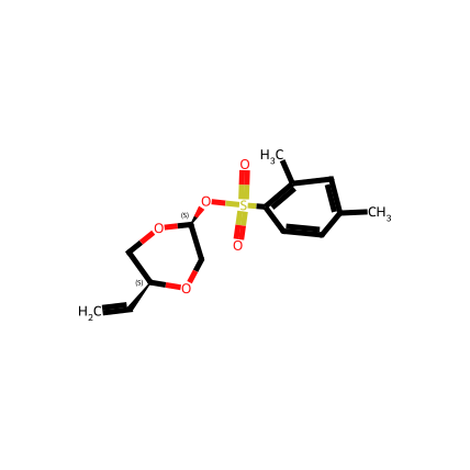 C=C[C@H]1CO[C@@H](OS(=O)(=O)c2ccc(C)cc2C)CO1